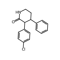 O=C1NCCC(c2ccccc2)C1c1ccc(Cl)cc1